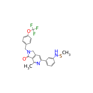 CSNc1cccc(-c2cc3c(c(C)n2)C(=O)N(Cc2ccc(OC(F)(F)F)cc2)C3)c1